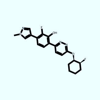 Cn1cc(-c2ccc(-c3ccc(O[C@@H]4CCCC[C@@H]4F)nn3)c(O)c2F)cn1